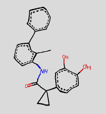 Cc1c(NC(=O)C2(c3ccc(O)c(O)c3)CC2)cccc1-c1ccccc1